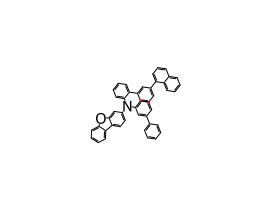 c1ccc(-c2cccc(N(c3ccc4c(c3)oc3ccccc34)c3ccccc3-c3cccc(-c4cccc5ccccc45)c3)c2)cc1